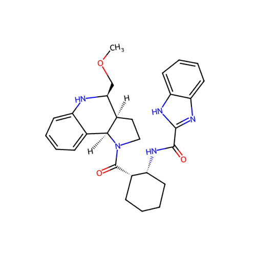 COC[C@@H]1Nc2ccccc2[C@H]2[C@@H]1CCN2C(=O)[C@H]1CCCC[C@H]1NC(=O)c1nc2ccccc2[nH]1